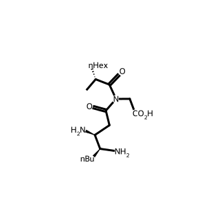 CCCCCC[C@@H](C)C(=O)N(CC(=O)O)C(=O)C[C@H](N)[C@@H](N)CCCC